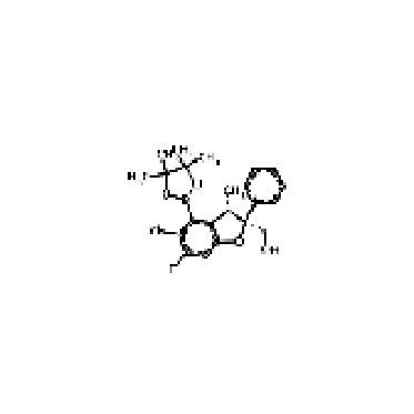 C[C@H]1c2c(cc(F)c(Cl)c2B2OC(C)(C)C(C)(C)O2)O[C@]1(CO)c1ccccc1